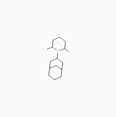 CCC1CCCC(CC)N1C1CC2CCCC(C2)C1